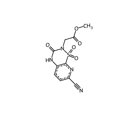 COC(=O)CN1C(=O)Nc2ccc(C#N)nc2S1(=O)=O